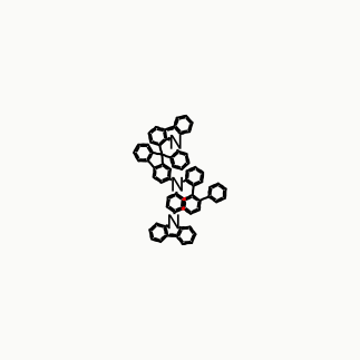 c1ccc(-c2ccccc2-c2ccccc2N(c2ccc(-n3c4ccccc4c4ccccc43)cc2)c2ccc3c(c2)C2(c4ccccc4-3)c3ccccc3-n3c4ccccc4c4cccc2c43)cc1